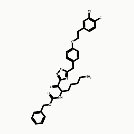 NCCCCC(NC(=O)OCc1ccccc1)C(=O)c1noc(Cc2ccc(OCCc3ccc(Cl)c(Cl)c3)cc2)n1